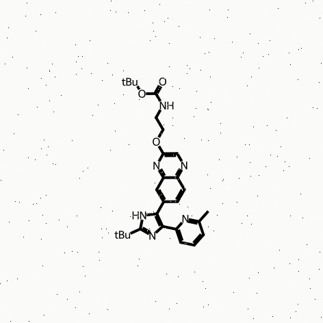 Cc1cccc(-c2nc(C(C)(C)C)[nH]c2-c2ccc3ncc(OCCNC(=O)OC(C)(C)C)nc3c2)n1